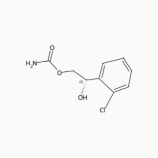 NC(=O)OC[C@@H](O)c1ccccc1Cl